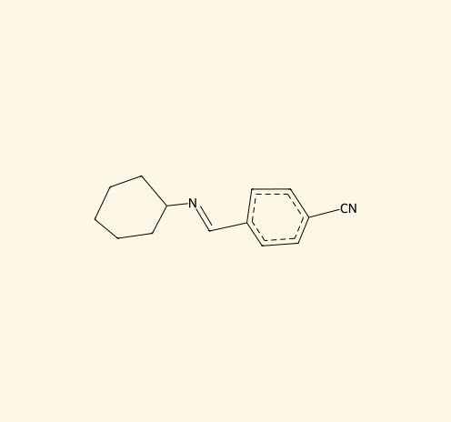 N#Cc1ccc(C=NC2CCCCC2)cc1